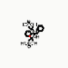 CC(C)(CP(=O)(O)O)NC(Cc1ccccc1)(NC(C)(C)CP(=O)(O)O)c1ccccc1